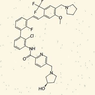 COc1cc(/C=C/c2cccc(-c3cccc(NC(=O)c4ccc(CN5CC[C@@H](O)C5)cn4)c3Cl)c2F)c(C(F)(F)F)cc1CN1CCCC1